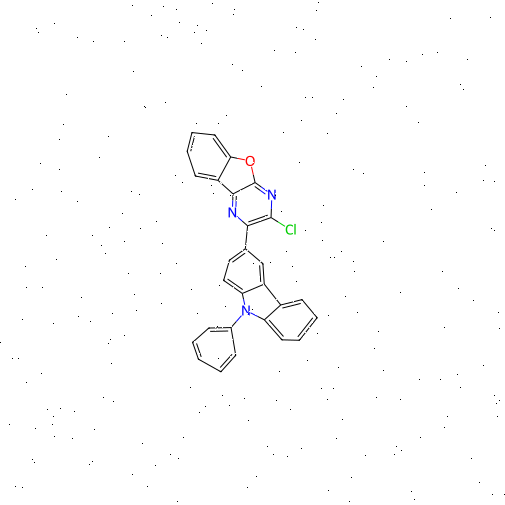 Clc1nc2oc3ccccc3c2nc1-c1ccc2c(c1)c1ccccc1n2-c1ccccc1